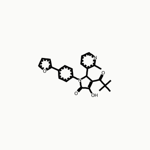 Cc1ncccc1C1C(C(=O)C(C)(C)C)=C(O)C(=O)N1c1ccc(-c2ccco2)cc1